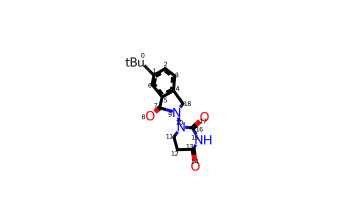 CC(C)(C)c1ccc2c(c1)C(=O)N(N1CCC(=O)NC1=O)C2